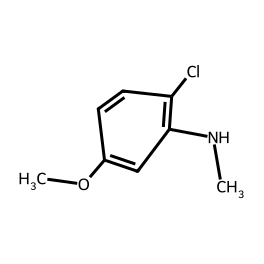 CNc1cc(OC)ccc1Cl